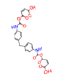 O=C(O)/C=C\C(=O)OC(=O)Nc1ccc(Cc2ccc(NC(=O)OC(=O)/C=C\C(=O)O)cc2)cc1